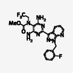 COC(=O)N(CC(F)(F)F)c1c(N)nc(-c2nn(Cc3ccccc3F)c3ncccc23)nc1N